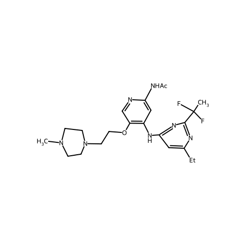 CCc1cc(Nc2cc(NC(C)=O)ncc2OCCN2CCN(C)CC2)nc(C(C)(F)F)n1